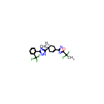 Cn1c(-c2ccccc2C(F)(F)F)nnc1C1(C)CC=C(c2noc(C(C)(F)F)n2)CC1